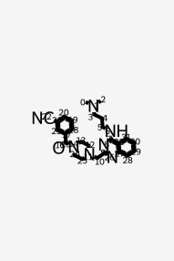 CN(C)CCCNc1nc(CN2CCN(C(=O)c3cccc(C#N)c3)CC2)nc2ccccc12